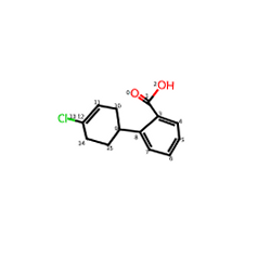 O=C(O)c1ccccc1C1CC=C(Cl)CC1